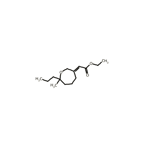 CCCC1(C)CCC/C(=C\C(=O)OCC)CO1